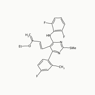 C=C(/C=C/c1c(Nc2c(F)cccc2F)nc(SC)nc1-c1ccc(F)cc1C)OCC